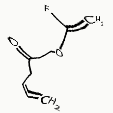 C=CC(=O)OC(=C)F